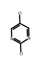 Clc1[c]nc(Cl)nc1